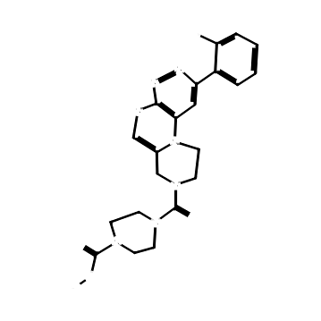 CC(C)(C)OC(=O)N1CCN(C(=O)N2CCN3C(=CNc4nnc(-c5ccccc5O)cc43)C2)CC1